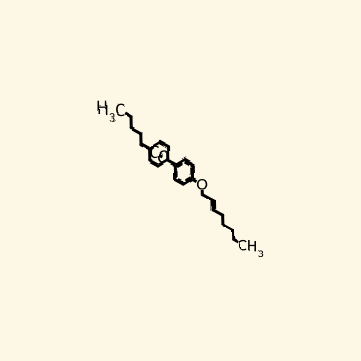 CCCCCC=CCOc1ccc(C23CCC(CCCCC)(CC2)CC3)cc1